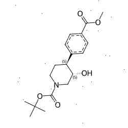 COC(=O)c1ccc([C@@H]2CCN(C(=O)OC(C)(C)C)C[C@H]2O)cc1